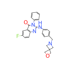 O=c1c2cc(F)ccc2nc(Nc2ccc(CN3CC4(COC4)C3)cc2)n1-c1ccccc1